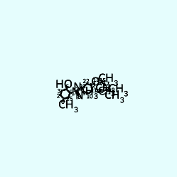 Cc1ccc(O)c(-n2nc3ccc(OC(C)(C)CC(C)(C)C)cc3n2)c1